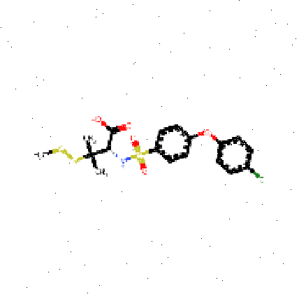 CSSC(C)(C)[C@@H](NS(=O)(=O)c1ccc(Oc2ccc(Cl)cc2)cc1)C(=O)O